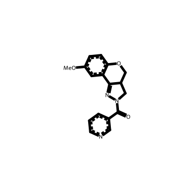 COc1ccc2c(c1)C1=NN(C(=O)c3cccnc3)CC1CO2